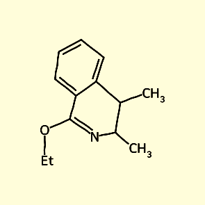 CCOC1=NC(C)C(C)c2ccccc21